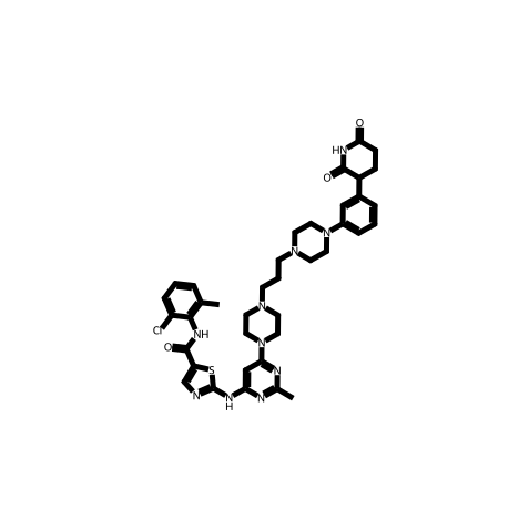 Cc1nc(Nc2ncc(C(=O)Nc3c(C)cccc3Cl)s2)cc(N2CCN(CCCN3CCN(c4cccc(C5CCC(=O)NC5=O)c4)CC3)CC2)n1